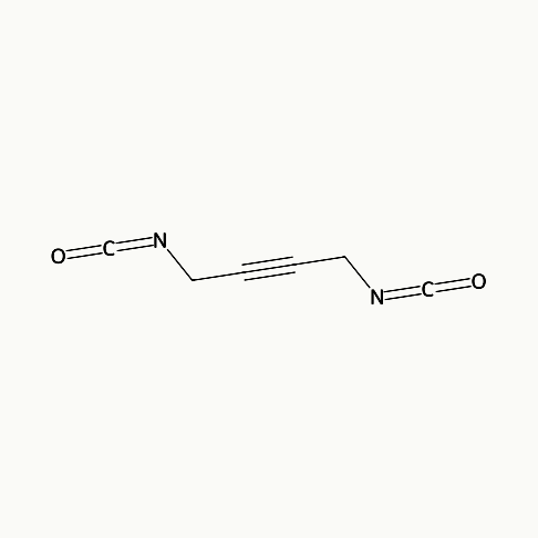 O=C=NCC#CCN=C=O